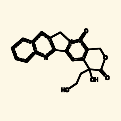 O=C1OCc2c(cc3n(c2=O)Cc2cc4ccccc4nc2-3)C1(O)CCO